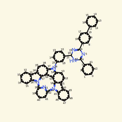 c1ccc(C2=NC(c3ccc(-c4ccccc4)cc3)=NC(c3cccc(-n4c5ccc6c7ccccc7n7c8cccc(n8)n8c9ccccc9c9ccc4c(c5c67)c98)c3)N2)cc1